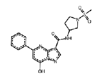 CS(=O)(=O)N1CCC(NC(=O)c2cnn3c(O)cc(-c4ccccc4)nc23)C1